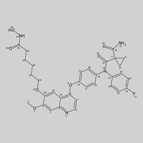 COc1cc2nccc(Oc3ccc(N(C(=O)C4(C(N)=O)CC4)c4ccc(F)cc4)cc3)c2cc1OCCCCCC(=O)NO